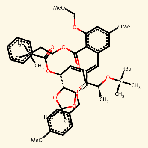 COCOc1cc(OC)cc(/C=C/C[C@@H]2OC(C)(C)O[C@@H]2C(/C=C\[C@@H](OCc2ccc(OC)cc2)[C@H](C)O[Si](C)(C)C(C)(C)C)OC(=O)c2ccccc2)c1C(=O)OCC[Si](C)(C)C